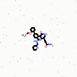 CCOc1ccccc1-c1ccc2c(NCc3ccccn3)nc3c(C#CC(N)=O)c[nH]c(=O)c3c2c1